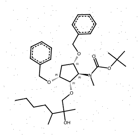 CCCCC(C)C(C)(O)CO[C@H]1[C@H](N(C)C(=O)OC(C)(C)C)[C@@H](OCc2ccccc2)C[C@H]1OCc1ccccc1